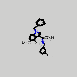 COc1ccc2c(c(C(NCc3cccc(C(F)(F)F)c3)C(=O)O)cn2Cc2ccccc2)c1C